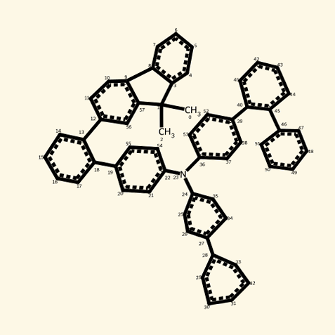 CC1(C)c2ccccc2-c2ccc(-c3ccccc3-c3ccc(N(c4ccc(-c5ccccc5)cc4)c4ccc(-c5ccccc5-c5ccccc5)cc4)cc3)cc21